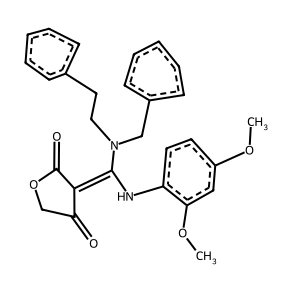 COc1ccc(NC(=C2C(=O)COC2=O)N(CCc2ccccc2)Cc2ccccc2)c(OC)c1